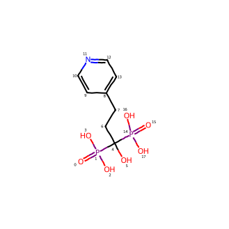 O=P(O)(O)C(O)(CCc1ccncc1)P(=O)(O)O